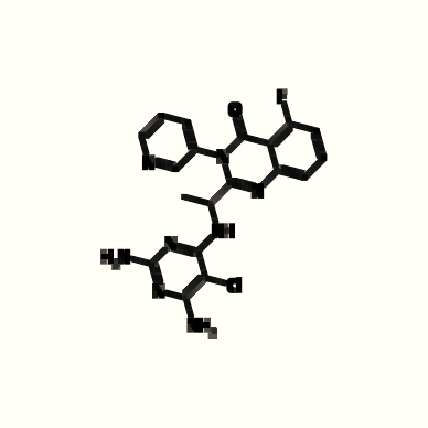 CC(Nc1nc(N)nc(N)c1Cl)c1nc2cccc(F)c2c(=O)n1-c1cccnc1